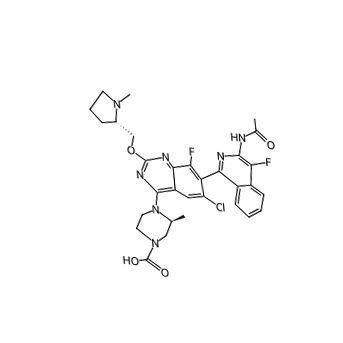 CC(=O)Nc1nc(-c2c(Cl)cc3c(N4CCN(C(=O)O)C[C@@H]4C)nc(OC[C@@H]4CCCN4C)nc3c2F)c2ccccc2c1F